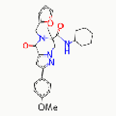 COc1ccc(-c2cc3n(n2)CC(C)(C(=O)NC2CCCCC2)N(Cc2ccco2)C3=O)cc1